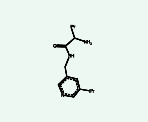 CC(C)c1cncc(CNC(=O)C(N)C(C)C)c1